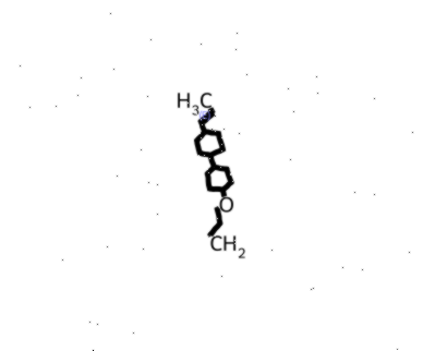 C=CCCOC1CCC(C2CCC(/C=C/C)CC2)CC1